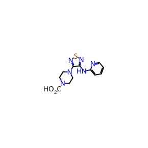 O=C(O)N1CCN(c2nsnc2Nc2ccccn2)CC1